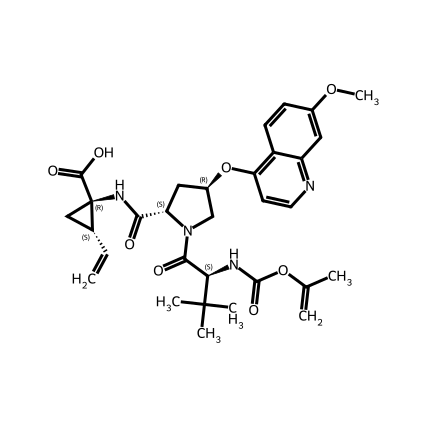 C=C[C@@H]1C[C@]1(NC(=O)[C@@H]1C[C@@H](Oc2ccnc3cc(OC)ccc23)CN1C(=O)[C@@H](NC(=O)OC(=C)C)C(C)(C)C)C(=O)O